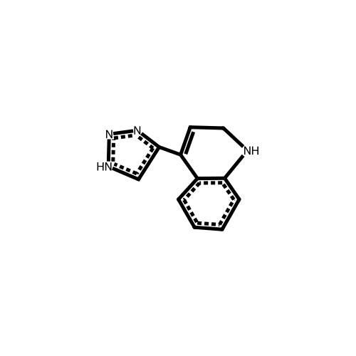 C1=C(c2c[nH]nn2)c2ccccc2NC1